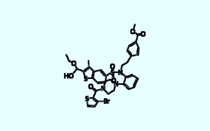 CCOC(O)c1sc2ccc(S(=O)(=O)N(CCc3ccc(C(=O)OC)cc3)c3ccccc3N3CCN(C(=O)c4sccc4Br)CC3)cc2c1C